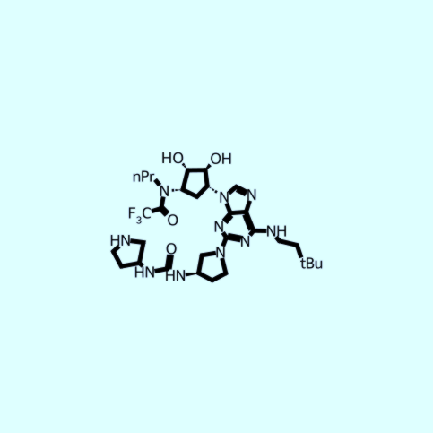 CCCN(C(=O)C(F)(F)F)[C@H]1C[C@@H](n2cnc3c(NCCC(C)(C)C)nc(N4CC[C@@H](NC(=O)NC5CCNC5)C4)nc32)[C@H](O)[C@H]1O